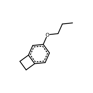 CCCOc1ccc2c(c1)CC2